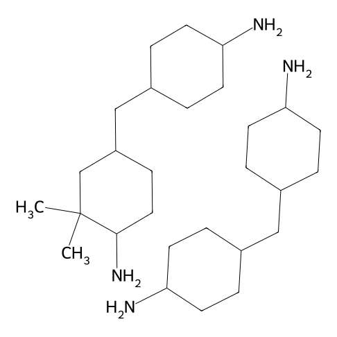 CC1(C)CC(CC2CCC(N)CC2)CCC1N.NC1CCC(CC2CCC(N)CC2)CC1